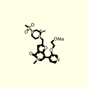 COCCOc1cnccc1-c1cn(C)c(=O)c2cc(CN3CCN(S(C)(=O)=O)C[C@H]3C)oc12